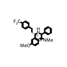 CNC(=O)C(N[C@@H](CCc1ccc(C(F)(F)F)cc1)c1cccc(OC)c1)c1ccccc1